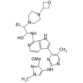 CCC(C(O)Nc1nccc2c(-c3nc(Nc4cn(C)nc4OC)ncc3C)c[nH]c12)N1CCN(C2COC2)CC1